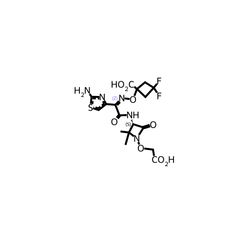 CC1(C)[C@H](NC(=O)/C(=N\OC2(C(=O)O)CC(F)(F)C2)c2csc(N)n2)C(=O)N1OCC(=O)O